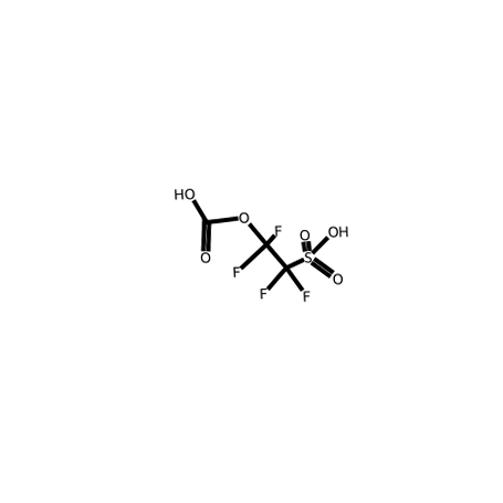 O=C(O)OC(F)(F)C(F)(F)S(=O)(=O)O